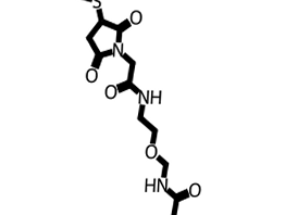 CSC1CC(=O)N(CC(=O)NCCOCNC(C)=O)C1=O